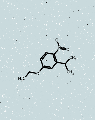 CCOc1ccc([N+](=O)[O-])c([C](C)C)c1